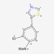 CCc1cc(-c2cncs2)ccc1NC